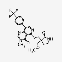 COCC1(CNc2ncc(-c3ccc(C(F)(F)F)cc3)c3ncn(C)c(=O)c23)CCNC1=O